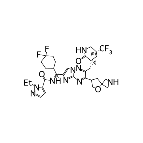 CCn1nccc1C(=O)N[C@H](c1cn2nc(C[C@H]3C[C@@H](C(F)(F)F)CNC3=O)c(C3COC4(CNC4)C3)nc2n1)C1CCC(F)(F)CC1